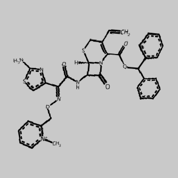 C=CC1=C(C(=O)OC(c2ccccc2)c2ccccc2)N2C(=O)C(NC(=O)C(=NOCc3cccc[n+]3C)c3csc(N)n3)[C@@H]2SC1